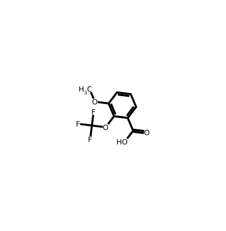 COc1cccc(C(=O)O)c1OC(F)(F)F